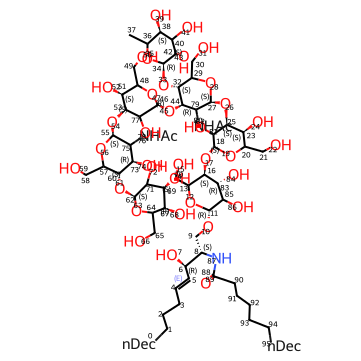 CCCCCCCCCCCCC/C=C/[C@@H](O)[C@H](CO[C@@H]1OC(CO)[C@@H](O[C@@H]2OC(CO)[C@H](O)[C@H](O[C@@H]3OC(CO)[C@@H](O[C@H]4OC(C)[C@@H](O)C(O)[C@@H]4O)[C@H](O[C@@H]4OC(CO)[C@H](O)[C@H](O[C@@H]5OC(CO)[C@@H](O[C@@H]6OC(CO)[C@H](O)[C@H](O)C6O)[C@H](O)C5NC(C)=O)C4O)C3NC(C)=O)C2O)[C@H](O)C1O)NC(=O)CCCCCCCCCCCCCCC